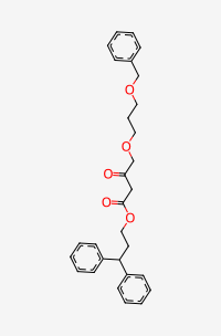 O=C(COCCCOCc1ccccc1)CC(=O)OCCC(c1ccccc1)c1ccccc1